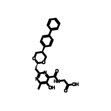 Cc1nc(C[C@H]2OC[C@H](c3ccc(-c4ccccc4)cc3)CO2)nc(C(=O)NCC(=O)O)c1O